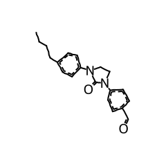 CCCCc1ccc(N2CCN(c3ccc(C=O)cc3)C2=O)cc1